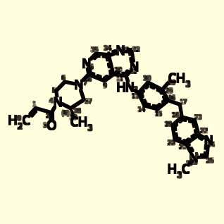 C=CC(=O)N1CCN(c2cc3c(Nc4ccc(Cc5ccc6c(c5)ncn6C)c(C)c4)ncnc3cn2)C[C@H]1C